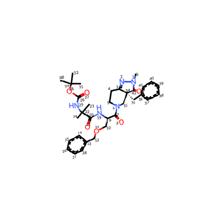 CN1N=C2CCN(C(=O)[C@@H](COCc3ccccc3)NC(=O)C(C)(C)NC(=O)OC(C)(C)C)C[C@]2(Cc2ccccc2)C1=O